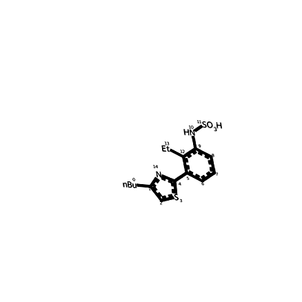 CCCCc1csc(-c2cccc(NS(=O)(=O)O)c2CC)n1